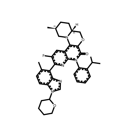 Cc1ccc2c(ncn2C2CCCCO2)c1-c1nc2c(cc1F)c1c(c(=O)n2-c2ccccc2C(C)C)OC[C@H]2CC[C@H](C)CN12